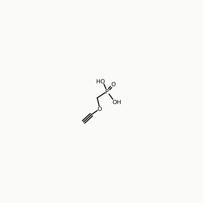 C#COCP(=O)(O)O